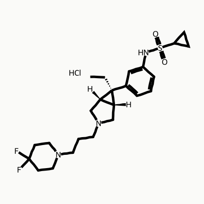 CC[C@]1(c2cccc(NS(=O)(=O)C3CC3)c2)[C@@H]2CN(CCCN3CCC(F)(F)CC3)C[C@@H]21.Cl